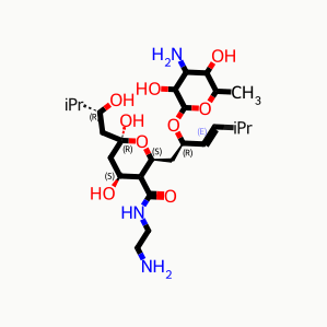 CC(C)/C=C/[C@@H](C[C@@H]1O[C@](O)(C[C@@H](O)C(C)C)C[C@H](O)C1C(=O)NCCN)OC1OC(C)C(O)C(N)C1O